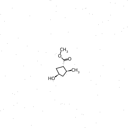 COC(=O)[C@H]1C[C@H](O)C[C@@H]1C